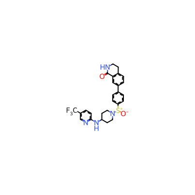 O=C1NCCc2ccc(-c3ccc([S+]([O-])N4CCC(Nc5ccc(C(F)(F)F)cn5)CC4)cc3)cc21